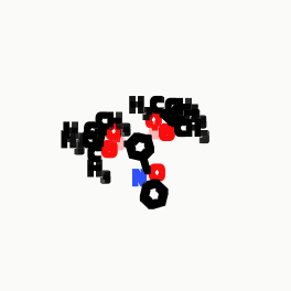 CC1(C)OB(c2cc(B3OC(C)(C)C(C)(C)O3)cc(-c3nc4ccccc4o3)c2)OC1(C)C